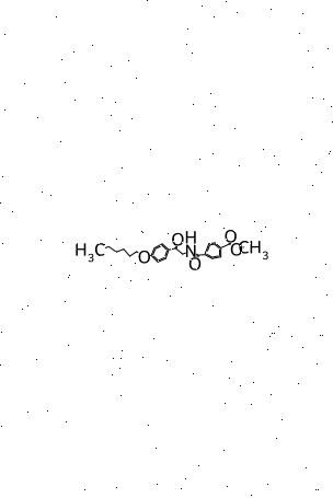 CCCCCCOc1ccc(C(=O)CNC(=O)c2ccc(C(=O)OC)cc2)cc1